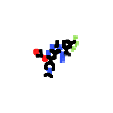 Cc1nc(N[C@H](C)c2cccc(C(F)F)c2F)c2cc(C3CCN(C(C)C)CC3)c(OC3COC3)nc2n1